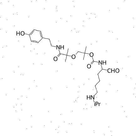 CC(C)NCCCCC(C=O)NC(=O)OC(C)(C)COC(C)(C)C(=O)NCCc1ccc(O)cc1